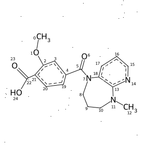 COc1cc(C(=O)N2CCCN(C)c3ncccc32)ccc1C(=O)O